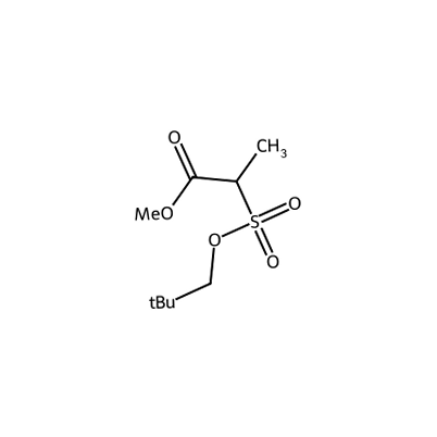 COC(=O)C(C)S(=O)(=O)OCC(C)(C)C